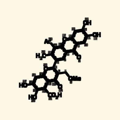 COCc1c(-c2cc3c(=O)c4cc(O)c(O)cc4oc3c(C(C)=O)c2C)oc2cc(O)c(O)c(C(=O)O)c2c1=O